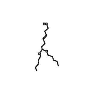 CCCCCOC(CC/C=C/CCO)OCCCCC